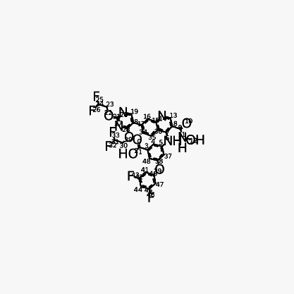 O=C(O)c1cc(Nc2c(C(=O)NO)cnc3cc(-c4cnc(OCC(F)F)nc4OCC(F)F)ccc23)cc(Oc2cc(F)cc(F)c2)c1